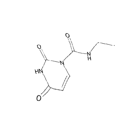 [CH2]CNC(=O)n1ccc(=O)[nH]c1=O